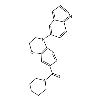 O=C(c1cnc2c(c1)OCCN2c1ccc2ncccc2c1)N1CCCCC1